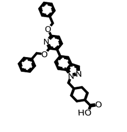 O=C(O)C1CCC(Cn2ncc3cc(-c4ccc(OCc5ccccc5)nc4OCc4ccccc4)ccc32)CC1